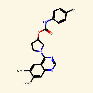 COc1cc2ncnc(N3CCC(OC(=O)Nc4ccc(C(C)C)cc4)C3)c2cc1OC